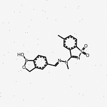 Cc1ccc2c(c1)C(N(C)/N=C/c1ccc3c(c1)COB3O)=NS2(=O)=O